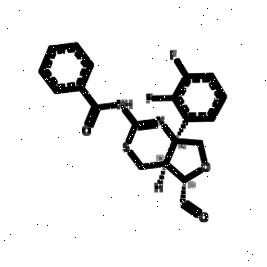 O=C[C@H]1OC[C@]2(c3cccc(F)c3F)N=C(NC(=O)c3ccccc3)SC[C@H]12